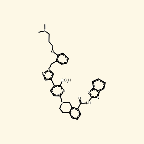 CN(C)CCCOc1ccccc1Cn1cc(-c2ccc(N3CCc4cccc(C(=O)Nc5nc6ccccc6s5)c4C3)nc2C(=O)O)cn1